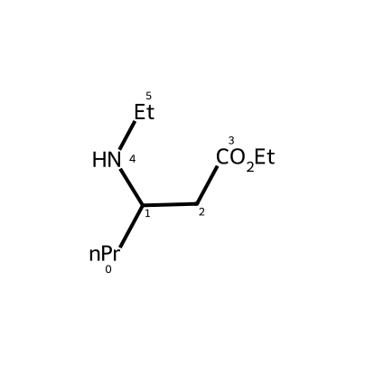 CCCC(CC(=O)OCC)NCC